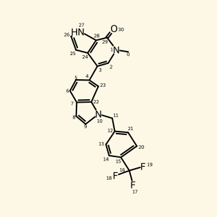 Cn1cc(-c2ccc3ccn(Cc4ccc(C(F)(F)F)cc4)c3c2)c2cc[nH]c2c1=O